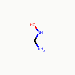 N[CH]NO